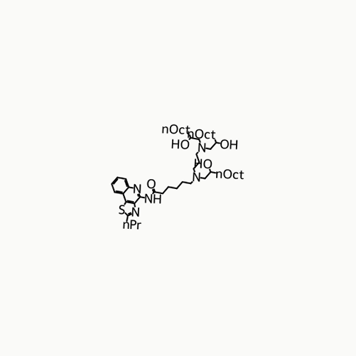 CCCCCCCCC(O)CN(CCCCCC(=O)Nc1nc2ccccc2c2sc(CCC)nc12)CCCN(CC(O)CCCCCCCC)CC(O)CCCCCCCC